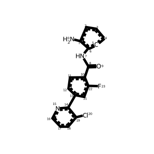 Nc1ccccc1NC(=O)c1ccc(-c2ncccc2Cl)cc1F